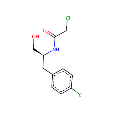 O=C(CCl)N[C@H](CO)Cc1ccc(Cl)cc1